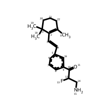 CC1=C(/C=C/c2cccc(C(=O)C(F)CN)c2)C(C)(C)CCC1